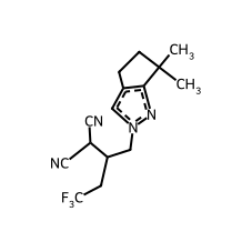 CC1(C)CCc2cn(CC(CC(F)(F)F)C(C#N)C#N)nc21